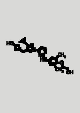 Cc1cc(Nc2nccc(-n3cc(CN4CC(O)C4)c(C4CC4)n3)n2)cc(C)c1OCCO